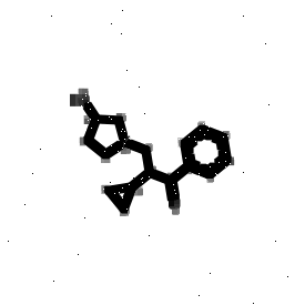 O=C(c1ccccc1)C(CN1CCC(O)C1)C1CC1